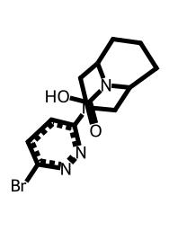 O=C(O)N1C2CCCC1CN(c1ccc(Br)nn1)C2